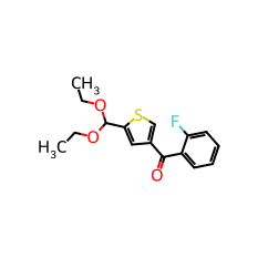 CCOC(OCC)c1cc(C(=O)c2ccccc2F)cs1